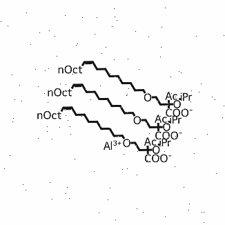 CCCCCCCC/C=C\CCCCCCCCOCCC(OC(C)C)(C(C)=O)C(=O)[O-].CCCCCCCC/C=C\CCCCCCCCOCCC(OC(C)C)(C(C)=O)C(=O)[O-].CCCCCCCC/C=C\CCCCCCCCOCCC(OC(C)C)(C(C)=O)C(=O)[O-].[Al+3]